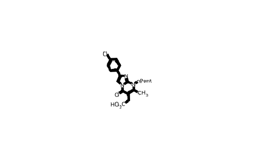 CCCCCn1c(C)c(CC(=O)O)c(=O)n2cc(-c3ccc(Cl)cc3)nc12